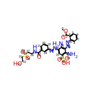 COC(=O)c1ccccc1/N=N/c1c(N)c(/N=N/c2cccc(C(=O)NCCS(=O)(=O)CCO)c2)cc(S(=O)(=O)O)c1N